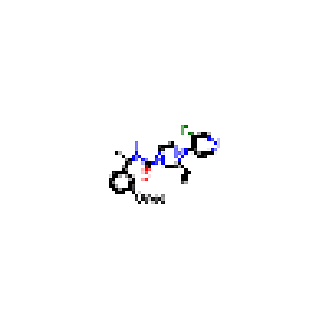 C=C[C@H]1CN(C(=O)N[C@H](C)c2cccc(OC)c2)CCN1c1ccncc1F